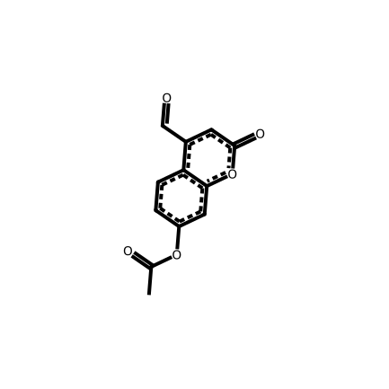 CC(=O)Oc1ccc2c(C=O)cc(=O)oc2c1